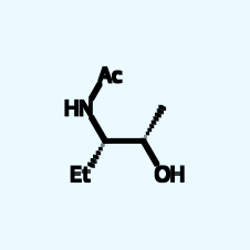 CC[C@H](NC(C)=O)[C@H](C)O